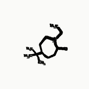 C=CN1CCC(C(C)(C)C)CCC1=O